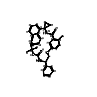 Cc1ccc(OCC(NC(=O)OC(C)(C)C)c2ccccc2)cc1C(=O)NC1(c2cccc3ccccc23)CC1